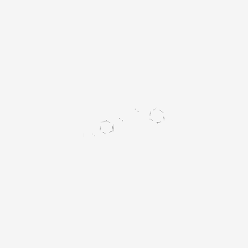 Cc1cc(N2CCN(Cc3ccccc3)CC2)ccc1N